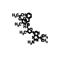 CC(C)OC(=O)[C@@H](C)NP(=O)(Cc1ccccc1)OC[C@H]1O[C@@H](n2cnc3c(N(C)C)nc(N)nc32)CC1C